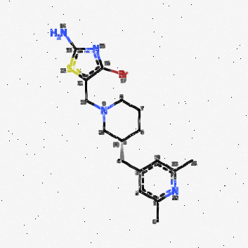 Cc1cc(C[C@H]2CCCN(Cc3sc(N)nc3Br)C2)cc(C)n1